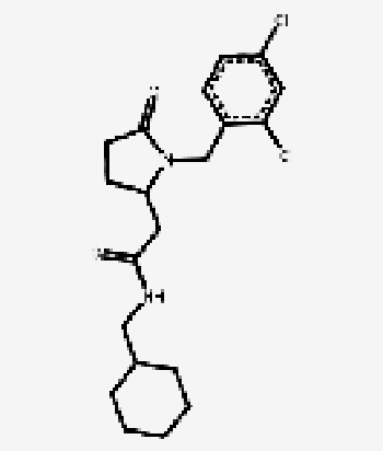 O=C(CC1CCC(=O)N1Cc1ccc(Cl)cc1Cl)NCC1CCCCC1